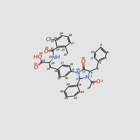 CC(=O)N1C(Cc2ccccc2)C(=O)N(c2ccc(C[C@H](NC(=O)c3c(C)cccc3Cl)C(=O)O)cc2)C1c1ccccc1